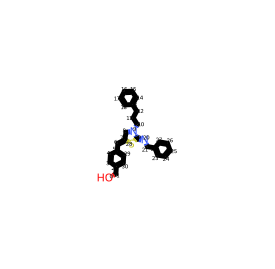 OCc1ccc(/C=C2/CN(CCCc3ccccc3)/C(=N/Cc3ccccc3)S2)cc1